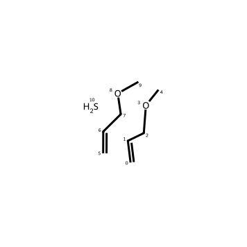 C=CCOC.C=CCOC.S